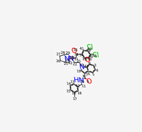 COc1cccc2c(C(=O)NCc3cccc(C)c3)cn(CCCN3C4CCC3CN(CC(=O)c3ccc(Cl)c(Cl)c3)C4)c12